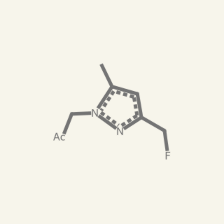 CC(=O)Cn1nc(CF)cc1C